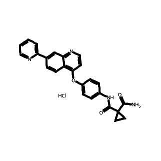 Cl.NC(=O)C1(C(=O)Nc2ccc(Oc3ccnc4cc(-c5ccccn5)ccc34)cc2)CC1